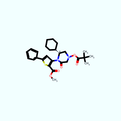 COC(=O)c1sc(-c2ccccc2)cc1N1C(=O)CN(OC(=O)C(C)(C)C)C[C@H]1C1CCCCC1